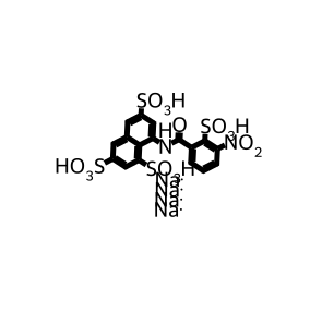 O=C(Nc1cc(S(=O)(=O)O)cc2cc(S(=O)(=O)O)cc(S(=O)(=O)O)c12)c1cccc([N+](=O)[O-])c1S(=O)(=O)O.[Na].[Na].[Na].[Na]